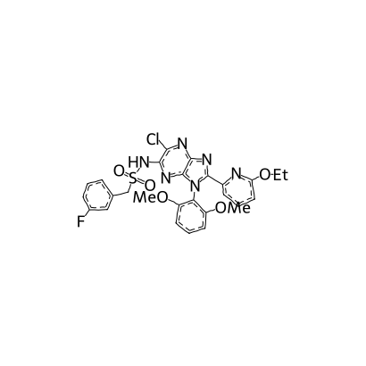 CCOc1cccc(-c2nc3nc(Cl)c(NS(=O)(=O)Cc4cccc(F)c4)nc3n2-c2c(OC)cccc2OC)n1